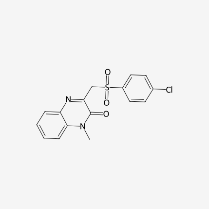 Cn1c(=O)c(CS(=O)(=O)c2ccc(Cl)cc2)nc2ccccc21